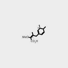 CO/C(C(=O)O)=C(\C)CC1=C[C@@H](C)C(C)C=C1